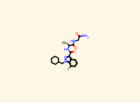 CC(C)(C)C(NC(=O)c1nn(CC2CCCCC2)c2c(F)cccc12)C(=O)NCC(N)=O